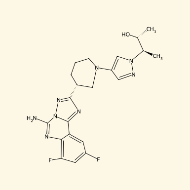 C[C@H]([C@@H](C)O)n1cc(N2CCC[C@@H](c3nc4c5cc(F)cc(F)c5nc(N)n4n3)C2)cn1